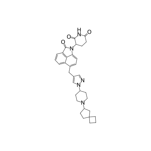 O=C1CCC(N2C(=O)c3cccc4c(Cc5cnn(C6CCN(C7CCC8(CCC8)C7)CC6)c5)ccc2c34)C(=O)N1